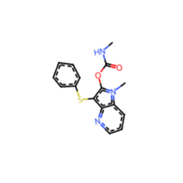 CNC(=O)Oc1c(Sc2ccccc2)c2ncccc2n1C